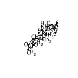 CCN1CC(=O)N(CC(C)(C)CCN(C)C(=S)NN(CCC(C)(C)CN2C(=S)CN(CC)C2=S)C(N)=S)C1=O